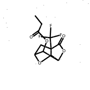 CCC(=O)OC1C2CC3(C(F)(F)F)C(=O)OC1C3O2